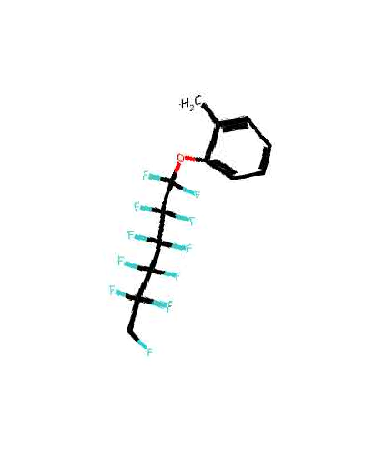 [CH2]c1ccccc1OC(F)(F)C(F)(F)C(F)(F)C(F)(F)C(F)(F)CF